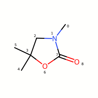 CN1CC(C)(C)OC1=O